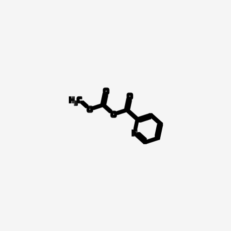 COC(=O)OC(=O)c1ccccn1